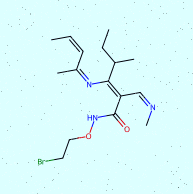 C\C=C/C(C)=N\C(=C(\C=N/C)C(=O)NOCCBr)C(C)CC